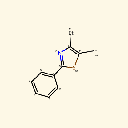 CCc1nc(-c2ccccc2)sc1CC